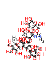 CC(=O)N[C@H]1[C@H](O[C@H]2[C@H](O)[C@@H](O)[C@H](O)O[C@@H]2CO)O[C@H](CO)[C@H](O)[C@@H]1O[C@@H]1O[C@H](CO)[C@@H](O[C@@H]2O[C@@H](C)[C@@H](O)[C@@H](O)[C@@H]2O)[C@H](O[C@@H]2O[C@H](CO)[C@H](O)[C@H](O)[C@H]2O)[C@H]1O